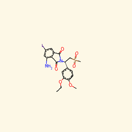 CCOc1cc(C(CS(C)(=O)=O)N2C(=O)c3cc(I)cc(N)c3C2=O)ccc1OC